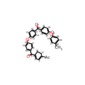 CC(=O)C1=CC=C(C(=O)c2ccc(Oc3ccc(C(=O)c4ccc(Oc5ccc(C)cc5)cc4)cc3)cc2)CC1